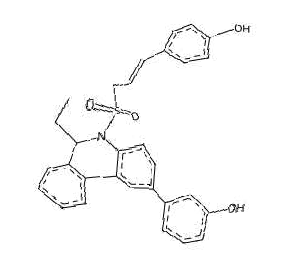 CCC1c2ccccc2-c2cc(-c3cccc(O)c3)ccc2N1S(=O)(=O)CC=Cc1ccc(O)cc1